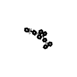 c1ccc(N(c2ccc(-n3c4ccccc4c4ccccc43)cc2)c2cccc3c2c2ccccc2n3-c2ccc(-c3nc4ccccc4s3)cc2)cc1